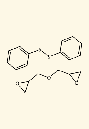 C(OCC1CO1)C1CO1.c1ccc(SSc2ccccc2)cc1